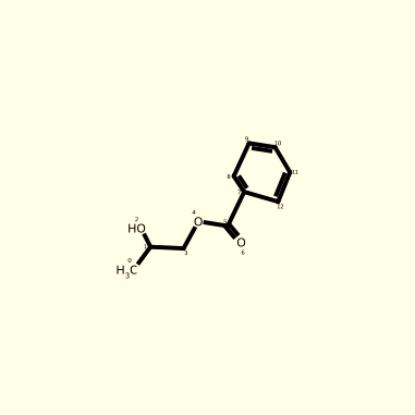 CC(O)COC(=O)c1ccccc1